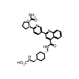 NC(=O)[C@@H]1CCCN1c1ccc(-c2cc(C(=O)NC[C@H]3CC[C@H](CNC(=O)O)CC3)c3ccccc3n2)cn1